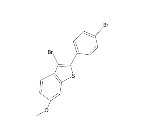 COc1ccc2c(Br)c(-c3ccc(Br)cc3)sc2c1